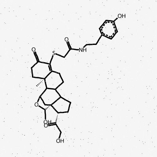 C[C@]12CCC(=O)C(SCC(=O)NCCc3ccc(O)cc3)=C1CCC1C3CC[C@H](C(=O)CO)[C@@]34CC(OC4O)C12